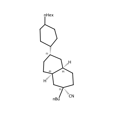 CCCCCCC1CCC([C@H]2CC[C@@H]3C[C@](C#N)(CCCC)CC[C@@H]3C2)CC1